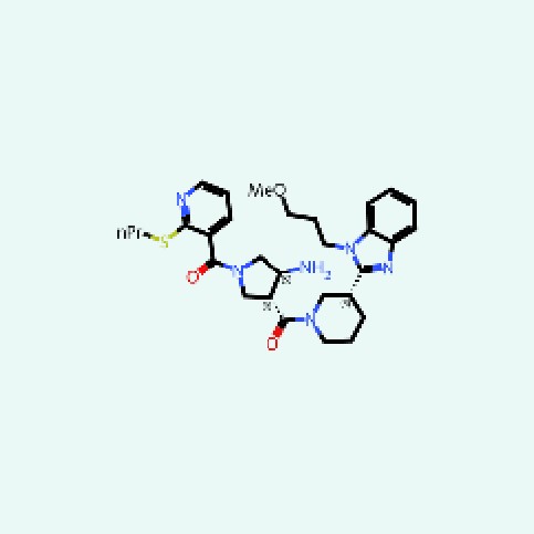 CCCSc1ncccc1C(=O)N1C[C@@H](N)[C@H](C(=O)N2CCC[C@@H](c3nc4ccccc4n3CCCOC)C2)C1